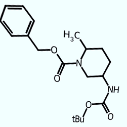 CC1CCC(NC(=O)OC(C)(C)C)CN1C(=O)OCc1ccccc1